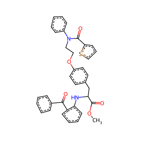 COC(=O)C(Cc1ccc(OCCN(C(=O)c2cccs2)c2ccccc2)cc1)Nc1ccccc1C(=O)c1ccccc1